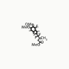 COC(=O)C[C@H](C)C(F)(F)c1cc2c(F)c(OC)c(OC)cc2s1